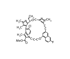 C=CC1OCc2cc(n(C)n2)CCc2cc(c3ccc(F)cc3c2)OCCCn2c(C(=O)OC)c(C)c3c(c(Cl)ccc32)-c2c1nn(C)c2C